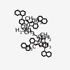 CCC1=Cc2c(-c3cccc4ccccc34)cccc2[CH]1[Zr]([Cl])([Cl])([CH2]CCCC[CH2][Zr]([Cl])([Cl])([SiH2]C)([CH]1C(CC)=Cc2c(-c3cccc4ccccc34)cccc21)[CH]1C(CC)=Cc2c(-c3cccc4ccccc34)cccc21)([SiH2]C)[CH]1C(CC)=Cc2c(-c3cccc4ccccc34)cccc21